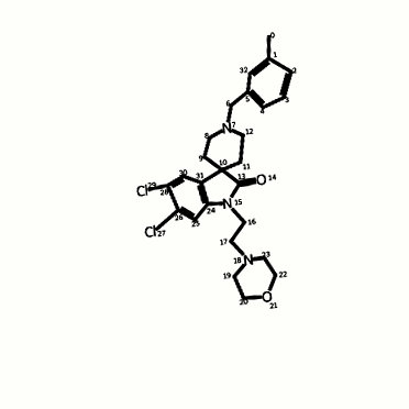 Cc1cccc(CN2CCC3(CC2)C(=O)N(CCN2CCOCC2)c2cc(Cl)c(Cl)cc23)c1